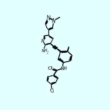 Cc1ccc(NC(=O)c2ccc(Cl)cc2)cc1C#Cc1cc(-c2cnn(C)c2)cnc1N